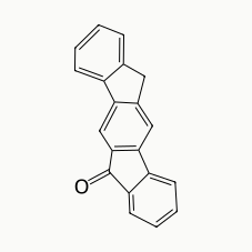 O=C1c2ccccc2-c2cc3c(cc21)-c1ccccc1C3